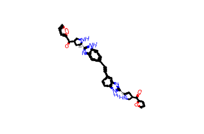 O=C(c1ccco1)C1CN[C@H](c2nc3cc(C#Cc4ccc5[nH]c([C@@H]6CC(C(=O)c7ccco7)CN6)nc5c4)ccc3[nH]2)C1